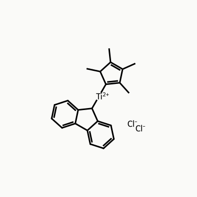 CC1=C(C)C(C)[C]([Ti+2][CH]2c3ccccc3-c3ccccc32)=C1C.[Cl-].[Cl-]